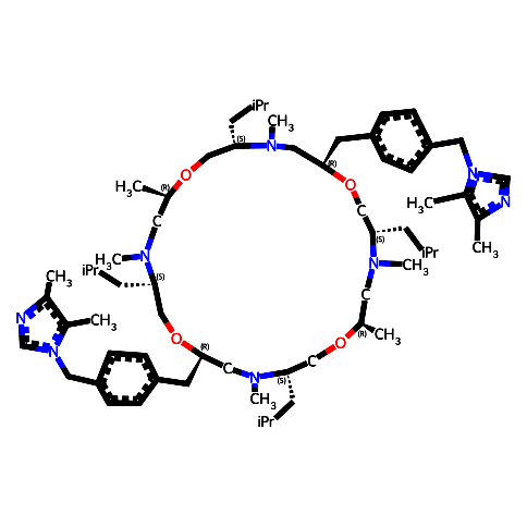 Cc1ncn(Cc2ccc(C[C@@H]3CN(C)[C@@H](CC(C)C)CO[C@H](C)CN(C)[C@@H](CC(C)C)CO[C@H](Cc4ccc(Cn5cnc(C)c5C)cc4)CN(C)[C@@H](CC(C)C)CO[C@H](C)CN(C)[C@@H](CC(C)C)CO3)cc2)c1C